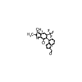 Cc1nc2c(Cl)c(-c3cccn4c(C=O)ccc34)c(C(F)(F)F)cc2n1C